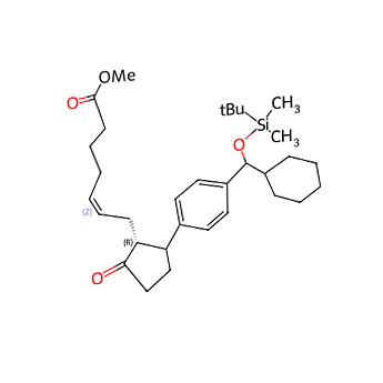 COC(=O)CCC/C=C\C[C@H]1C(=O)CCC1c1ccc(C(O[Si](C)(C)C(C)(C)C)C2CCCCC2)cc1